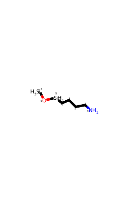 NCCCC[SiH2]O[SiH3]